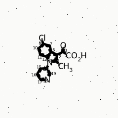 Cc1c(C(=O)C(=O)O)c2cc(Cl)ccc2n1-c1cccnc1